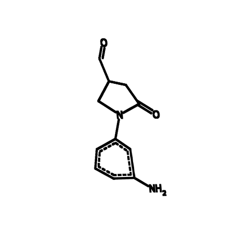 Nc1cccc(N2CC(C=O)CC2=O)c1